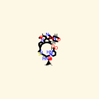 CCn1c(-c2cc([C@@H]3C[C@H]4COC[C@@H](C3)N4C3CC3)cnc2[C@H](C)OC)c2c3cc(ccc31)-c1csc(n1)[C@@H](C)[C@H](NC(=O)[C@H]1[C@H](C)[C@@H]1C)C(=O)N1CCC[C@H](N1)C(=O)OCC(C)(C)C2